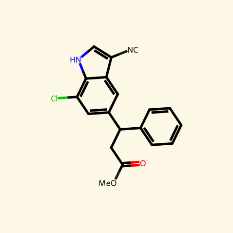 [C-]#[N+]c1c[nH]c2c(Cl)cc(C(CC(=O)OC)c3ccccc3)cc12